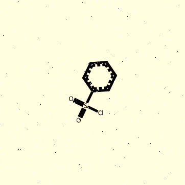 O=S(=O)(Cl)c1c[c]ccc1